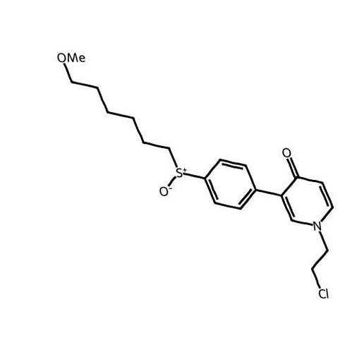 COCCCCCC[S+]([O-])c1ccc(-c2cn(CCCl)ccc2=O)cc1